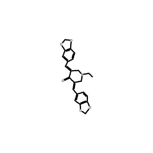 CCN1C/C(=C\c2ccc3c(c2)OCO3)C(=O)/C(=C/c2ccc3c(c2)OCO3)C1